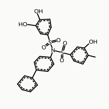 Cc1ccc(S(=O)(=O)N(c2ccc(-c3ccccc3)cc2)S(=O)(=O)c2ccc(O)c(O)c2)cc1O